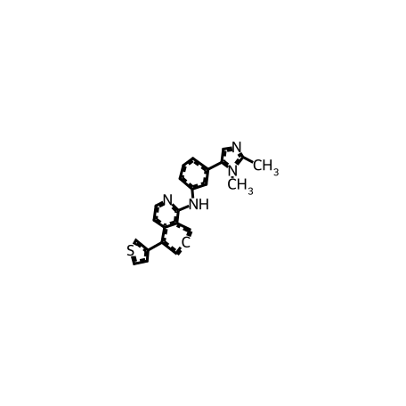 Cc1ncc(-c2cccc(Nc3nccc4c(-c5ccsc5)cccc34)c2)n1C